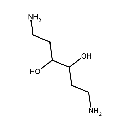 NCCC(O)C(O)CCN